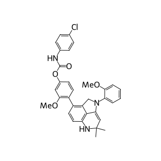 COc1cc(OC(=O)Nc2ccc(Cl)cc2)ccc1-c1ccc2c3c1CN(c1ccccc1OC)C3=CC(C)(C)N2